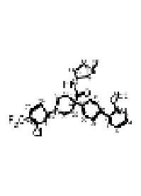 CCOc1ncccc1-c1ccc(C2(C(=O)N[C@@H]3CCN(C)C3)CCN(c3ccc(C(F)(F)F)c(Cl)c3)CC2)cc1